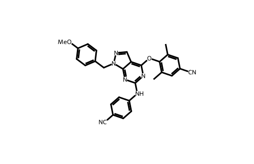 COc1ccc(Cn2ncc3c(Oc4c(C)cc(C#N)cc4C)nc(Nc4ccc(C#N)cc4)nc32)cc1